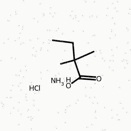 CCC(C)(C)C(=O)O.Cl.N